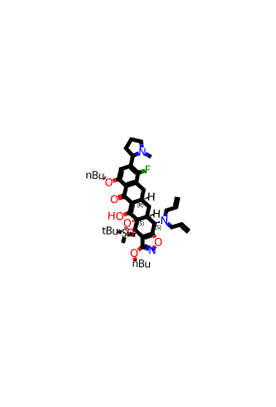 C=CCN(CC=C)[C@@H]1c2onc(OCCCC)c2C(=O)[C@@]2(O[Si](C)(C)C(C)(C)C)C(O)=C3C(=O)c4c(OCCCC)cc(C5CCCN5C)c(F)c4C[C@H]3C[C@@H]12